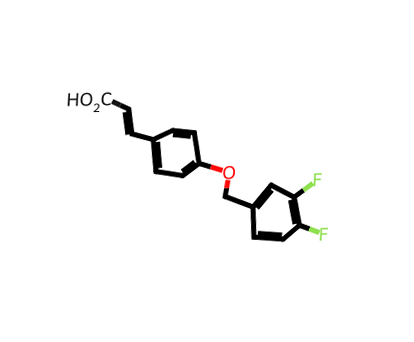 O=C(O)/C=C/c1ccc(OCc2ccc(F)c(F)c2)cc1